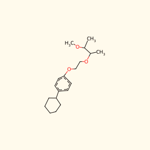 COC(C)C(C)OCCOc1ccc(C2CCCCC2)cc1